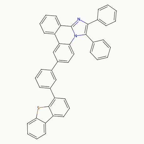 c1ccc(-c2nc3c4ccccc4c4cc(-c5cccc(-c6cccc7c6sc6ccccc67)c5)ccc4n3c2-c2ccccc2)cc1